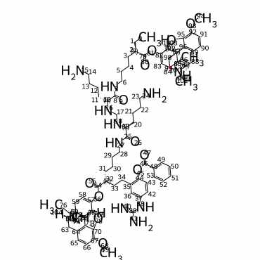 CC[C@H](CCCCNC(=O)[C@@H](CCCCN)NCN[C@@H](CCCCN)C(=O)NCCCC[C@H](CCc1cc(NC(=N)N)ccc1OC(=O)c1ccccc1)C(=O)OC1=CC[C@@]2(C)[C@H]3Cc4ccc(OC)c5c4[C@@]2(CCN3C)[C@H]1O5)C(=O)OC1=CC[C@@]2(C)[C@H]3Cc4ccc(OC)c5c4[C@@]2(CCN3C)[C@H]1O5